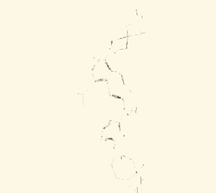 COCC1(F)CN(c2ncc(C(C)C)c3cc(Nc4ccnc(N5CC[C@@H](O)[C@@](C)(F)C5)n4)ncc23)C1